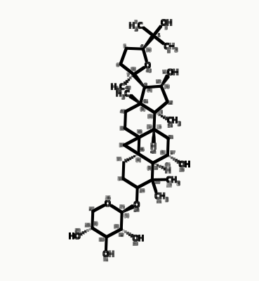 CC(C)(O)[C@@H]1CC[C@](C)([C@H]2[C@@H](O)C[C@@]3(C)[C@@H]4C[C@H](O)[C@H]5C(C)(C)C(O[C@@H]6OC[C@@H](O)C(O)[C@H]6O)CC[C@@]56CC46CC[C@]23C)O1